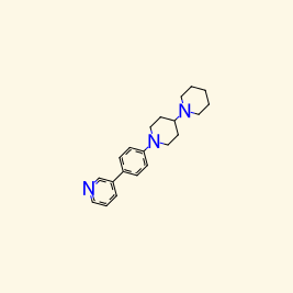 c1cncc(-c2ccc(N3CCC(N4CCCCC4)CC3)cc2)c1